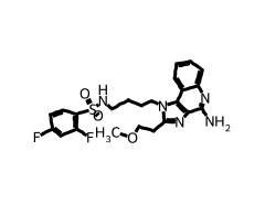 COCCc1nc2c(N)nc3ccccc3c2n1CCCCNS(=O)(=O)c1ccc(F)cc1F